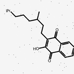 CC(C)CCCC(C)CCC1=C(O)C(=O)c2ccccc2C1=O